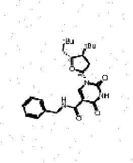 CC(C)(C)C[C@H]1O[C@@H](n2cc(C(=O)NCc3ccccc3)c(=O)[nH]c2=O)CC1C(C)(C)C